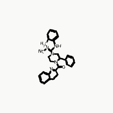 Cc1ccccc1N/C(=N/C#N)N1CCN(C(=O)c2ccc3ccccc3n2)C(c2ccccc2)C1